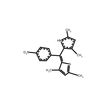 CC1=CC(C)=N/C1=C(/c1ccc([N+](=O)[O-])cc1)c1[nH]c(C)cc1C